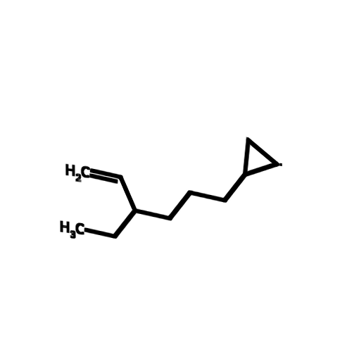 C=CC(CC)CCCC1[CH]C1